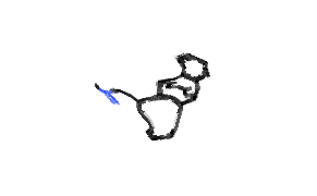 CNCc1cccc2c1C1CCC2c2ccccc21